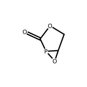 O=C1OCC2OP12